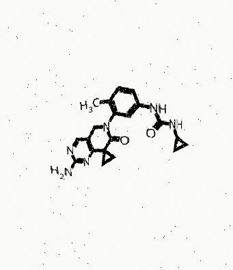 Cc1ccc(NC(=O)NC2CC2)cc1N1Cc2cnc(N)nc2C2(CC2)C1=O